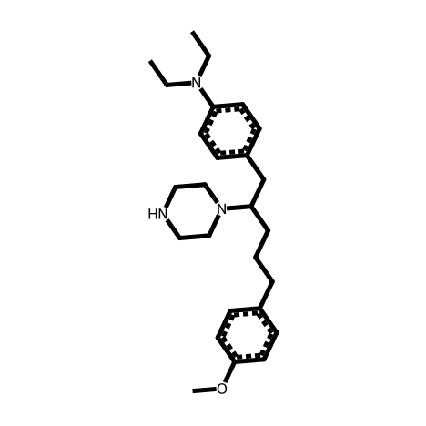 CCN(CC)c1ccc(CC(CCCc2ccc(OC)cc2)N2CCNCC2)cc1